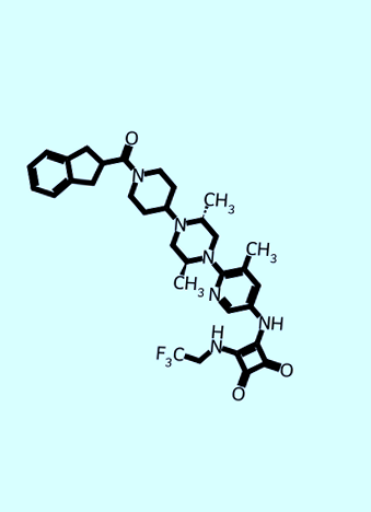 Cc1cc(Nc2c(NCC(F)(F)F)c(=O)c2=O)cnc1N1C[C@@H](C)N(C2CCN(C(=O)C3Cc4ccccc4C3)CC2)C[C@@H]1C